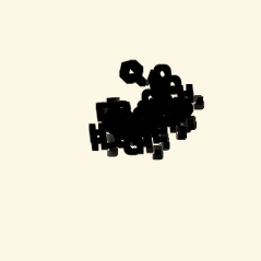 CC(C)(C)[Si](C)(C)OS(=O)(=O)C(F)(F)F.C[C@H](C(=O)N1C(=O)OC[C@H]1Cc1ccccc1)[C@@](C)(O[Si](C)(C)C(C)(C)C)c1ccccc1